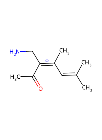 CC(=O)/C(CN)=C(/C)C=C(C)C